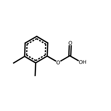 Cc1cccc(OC(=O)O)c1C